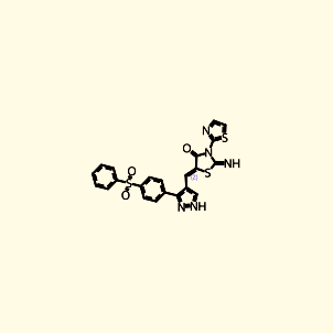 N=C1S/C(=C\c2c[nH]nc2-c2ccc(S(=O)(=O)c3ccccc3)cc2)C(=O)N1c1nccs1